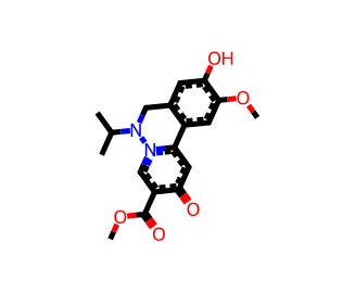 COC(=O)c1cn2c(cc1=O)-c1cc(OC)c(O)cc1CN2C(C)C